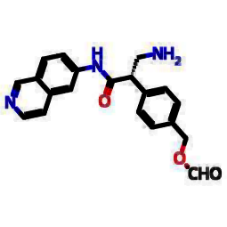 NC[C@@H](C(=O)Nc1ccc2cnccc2c1)c1ccc(COC=O)cc1